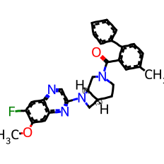 COc1cc2nc(N3C[C@@H]4CCN(C(=O)c5cc(C)ccc5-c5ccccc5)C[C@@H]43)cnc2cc1F